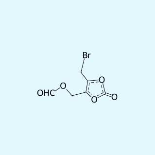 O=COCc1oc(=O)oc1CBr